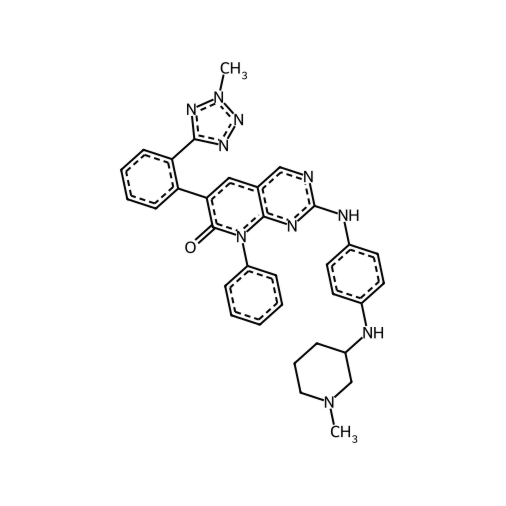 CN1CCCC(Nc2ccc(Nc3ncc4cc(-c5ccccc5-c5nnn(C)n5)c(=O)n(-c5ccccc5)c4n3)cc2)C1